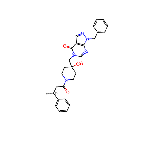 C[C@H](CC(=O)N1CCC(O)(Cn2cnc3c(cnn3Cc3ccccc3)c2=O)CC1)c1ccccc1